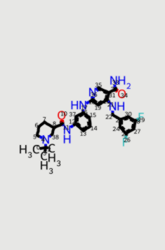 CC(C)(C)N1CCCC(C(=O)Nc2cccc(Nc3cc(NCc4cc(F)cc(F)c4)c(C(N)=O)cn3)c2)C1